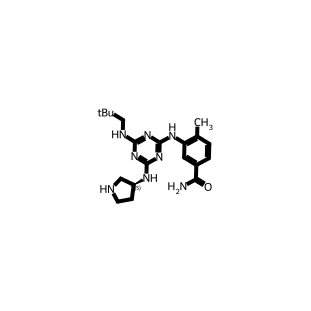 Cc1ccc(C(N)=O)cc1Nc1nc(NCC(C)(C)C)nc(N[C@H]2CCNC2)n1